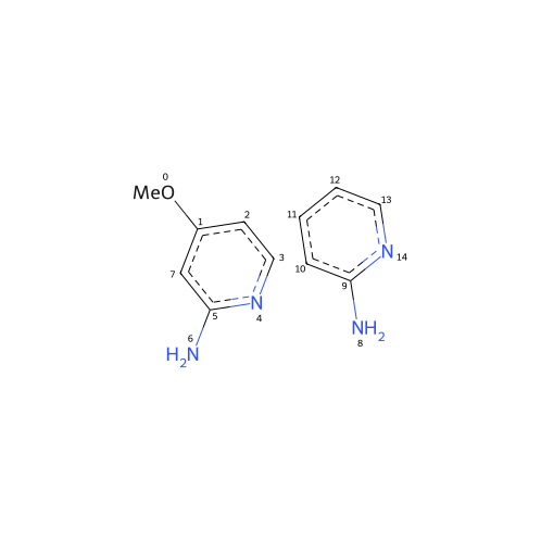 COc1ccnc(N)c1.Nc1ccccn1